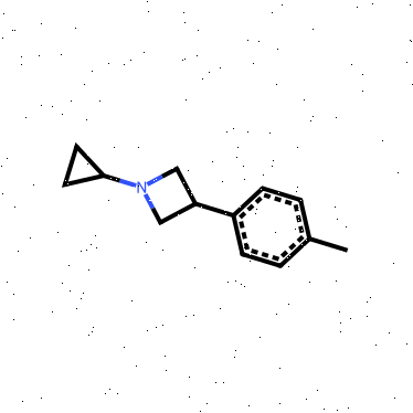 Cc1ccc(C2CN(C3CC3)C2)cc1